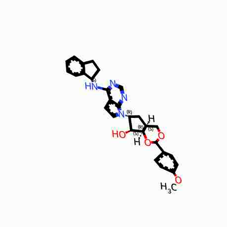 COc1ccc(C2OC[C@@H]3C[C@@H](n4ccc5c(N[C@H]6CCc7ccccc76)ncnc54)[C@H](O)[C@@H]3O2)cc1